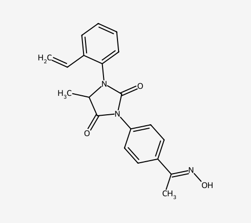 C=Cc1ccccc1N1C(=O)N(c2ccc(C(C)=NO)cc2)C(=O)C1C